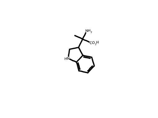 CC(N)(C(=O)O)C1CNc2ccccc21